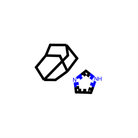 C1C2CC3CC1CC(C2)C3.c1c[nH]cn1